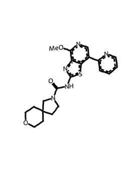 COc1ncc(-c2ccccn2)c2sc(NC(=O)N3CCC4(CCOCC4)C3)nc12